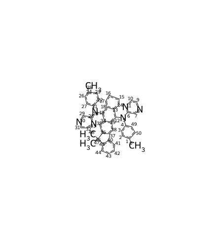 Cc1ccc(N(c2cnccn2)c2c3ccccc3c(N(c3ccc(C)cc3)c3cnccn3)c3cc4c(cc23)-c2ccccc2C4(C)C)cc1